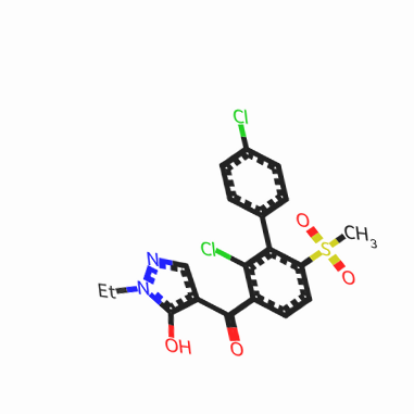 CCn1ncc(C(=O)c2ccc(S(C)(=O)=O)c(-c3ccc(Cl)cc3)c2Cl)c1O